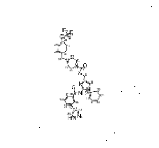 O=C(Nc1nc(CCC(=O)N2CCN(Cc3ccc(OC(F)(F)F)cc3)CC2)cn1-c1ccccc1)c1cccc(-c2cn[nH]c2)c1